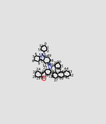 c1ccc(-n2c3ccccc3c3cc(N(c4ccc5oc6ccccc6c5c4)c4cccc5c4-c4cccc6cc7ccccc7c-5c46)ccc32)cc1